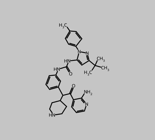 Cc1ccc(-n2nc(C(C)(C)C)cc2NC(=O)Nc2cccc(C(C(=O)c3cccnc3N)C3CCNCC3)c2)cc1